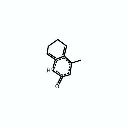 Cc1cc(=O)[nH]c2c1=CCCC=2